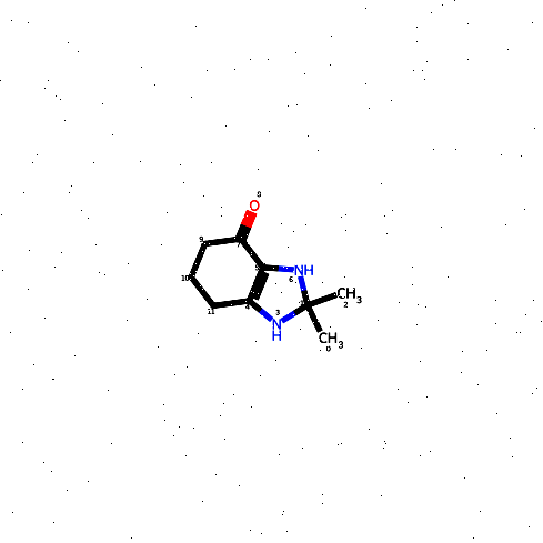 CC1(C)NC2=C(N1)C(=O)CCC2